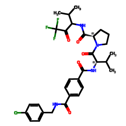 CC(C)C(NC(=O)[C@@H]1CCCN1C(=O)[C@@H](NC(=O)c1ccc(C(=O)NCc2ccc(Cl)cc2)cc1)C(C)C)C(=O)C(F)(F)F